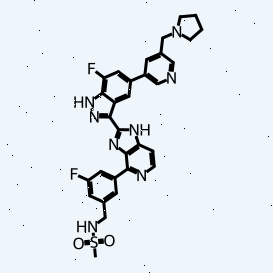 CS(=O)(=O)NCc1cc(F)cc(-c2nccc3[nH]c(-c4n[nH]c5c(F)cc(-c6cncc(CN7CCCC7)c6)cc45)nc23)c1